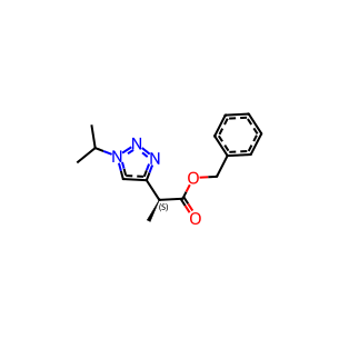 CC(C)n1cc([C@H](C)C(=O)OCc2ccccc2)nn1